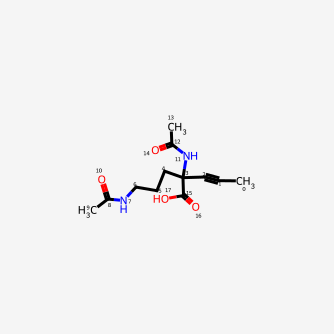 CC#CC(CCCNC(C)=O)(NC(C)=O)C(=O)O